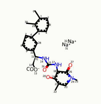 Cc1cccc(-c2cccc([C@H](CC(=O)[O-])NC(=O)Nc3c([O-])c(C)cn(C)c3=O)c2)c1C.[Na+].[Na+]